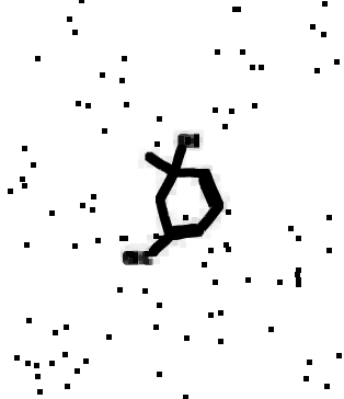 CC1(O)C=CC=C(C=O)C1